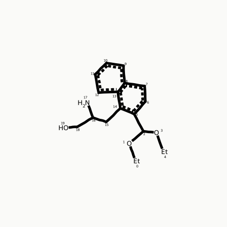 CCOC(OCC)c1ccc2ccccc2c1CC(N)CO